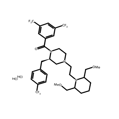 COCC1CCCC(COC)N1CCN1CCN(C(=O)c2cc(C(F)(F)F)cc(C(F)(F)F)c2)[C@H](Cc2ccc(C(F)(F)F)cc2)C1.Cl.Cl